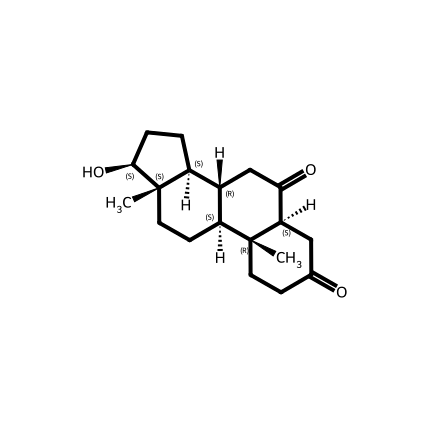 C[C@]12CCC(=O)C[C@@H]1C(=O)C[C@@H]1[C@@H]2CC[C@]2(C)[C@@H](O)CC[C@@H]12